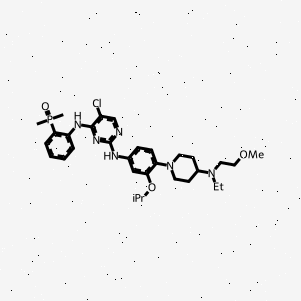 CCN(CCOC)C1CCN(c2ccc(Nc3ncc(Cl)c(Nc4ccccc4P(C)(C)=O)n3)cc2OC(C)C)CC1